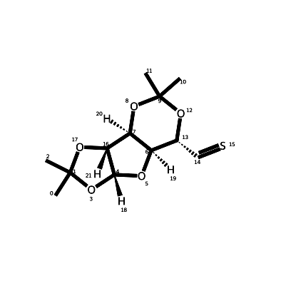 CC1(C)O[C@H]2O[C@H]3[C@H](OC(C)(C)O[C@@H]3C=S)[C@H]2O1